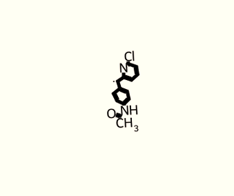 CC(=O)Nc1ccc([CH]c2cccc(Cl)n2)cc1